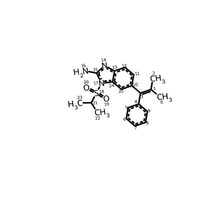 CC(C)=C(c1ccccc1)c1ccc2nc(N)n(S(=O)(=O)C(C)C)c2c1